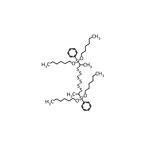 CCCCCCO[Si](OCCCCCC)(c1ccccc1)C(C)SSSSSSC(C)[Si](OCCCCCC)(OCCCCCC)c1ccccc1